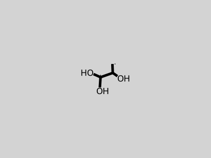 [CH2]C(O)[C](O)O